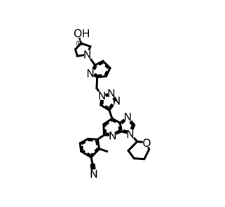 Cc1c(C#N)cccc1-c1cc(-c2cn(Cc3cccc(N4CC[C@@H](O)C4)n3)nn2)c2ncn(C3CCCCO3)c2n1